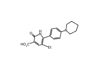 CCc1cc(C(=O)O)c(=O)[nH]c1-c1ccc(N2CCCCC2)cc1